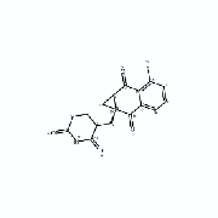 O=C1CCC(C[C@@]23CC2C(=O)c2c(F)cccc2C3=O)C(=O)N1